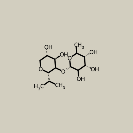 CC(C)[C@@H]1OC[C@H](O)[C@@H](O)C1O[C@@H]1OC(C)[C@H](O)[C@H](O)C1O